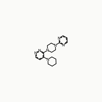 c1cnc(N2CCN(c3nnccc3N3CCCCC3)CC2)nc1